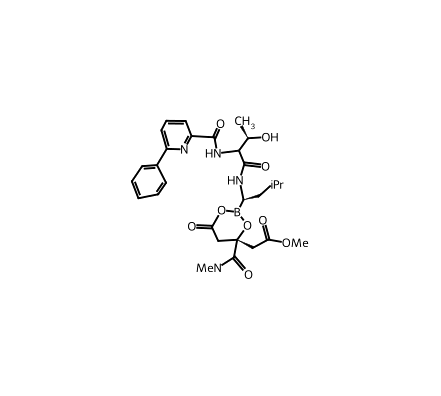 CNC(=O)[C@]1(CC(=O)OC)CC(=O)OB([C@H](CC(C)C)NC(=O)C(NC(=O)c2cccc(-c3ccccc3)n2)[C@@H](C)O)O1